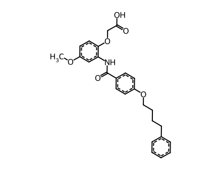 COc1ccc(OCC(=O)O)c(NC(=O)c2ccc(OCCCCc3ccccc3)cc2)c1